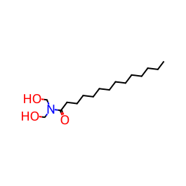 CCCCCCCCCCCCCC(=O)N(CO)CO